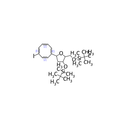 CC(C)(C)[Si](C)(C)OCC1OC(C2=C/C=C\C=C(I)/C=C\2)CC1O[Si](C)(C)C(C)(C)C